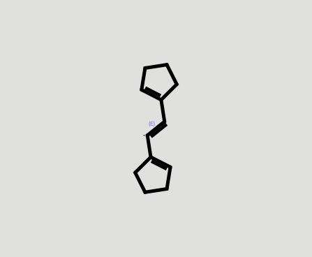 [C](=C\C1=CCCC1)/C1=CCCC1